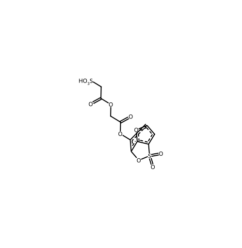 O=C(CS(=O)(=O)O)OCC(=O)Oc1c2c3oc1cc3S(=O)(=O)O2